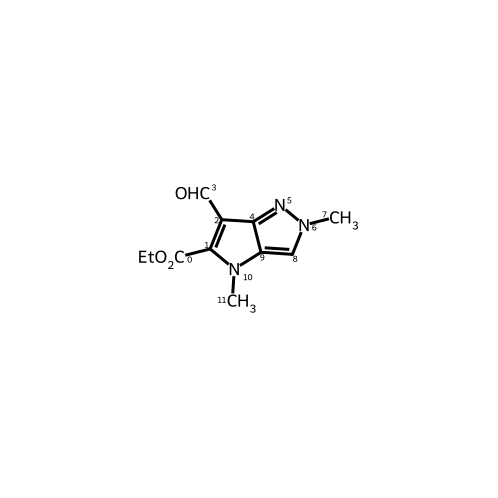 CCOC(=O)c1c(C=O)c2nn(C)cc2n1C